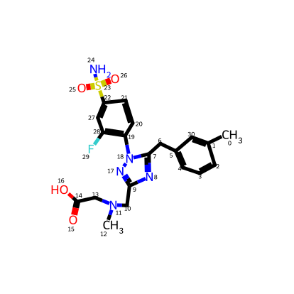 Cc1cccc(Cc2nc(CN(C)CC(=O)O)nn2-c2ccc(S(N)(=O)=O)cc2F)c1